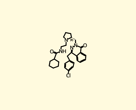 O=C(NCCN1CCC[C@@H]1Cn1nc(Cc2ccc(Cl)cc2)c2ccccc2c1=O)C1CCCCC1